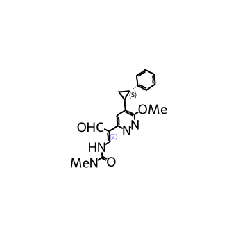 CNC(=O)N/C=C(\C=O)c1cc(C2C[C@@H]2c2ccccc2)c(OC)nn1